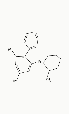 CC(C)c1cc(C(C)C)c(-c2ccccc2)c(C(C)C)c1.PC1CCCCC1